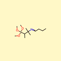 CCCC=NC(C)(C)C(C)[Si](OC)(OC)OC